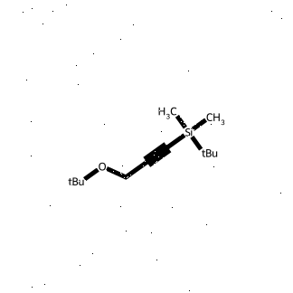 CC(C)(C)OCC#C[Si](C)(C)C(C)(C)C